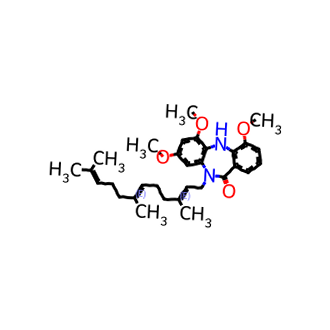 COc1cc(OC)c2c(c1)N(C/C=C(\C)CC/C=C(\C)CCC=C(C)C)C(=O)c1cccc(OC)c1N2